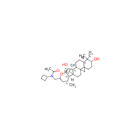 CC(=O)N(CC1C[C@@H](C)[C@H]2C(O1)[C@H](O)[C@@]1(C)C3CC[C@H]4C(C)(C)C(O)CCC45CC35CCC21C)C1CCC1